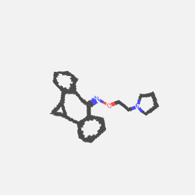 c1ccc2c(c1)C(=NOCCN1CCCC1)c1ccccc1C1CC21